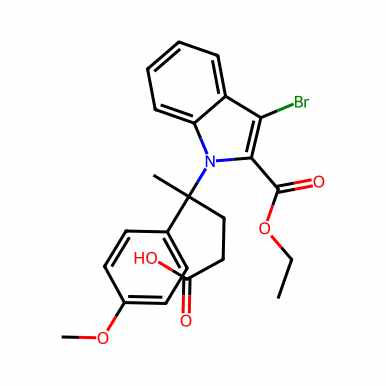 CCOC(=O)c1c(Br)c2ccccc2n1C(C)(CCC(=O)O)c1ccc(OC)cc1